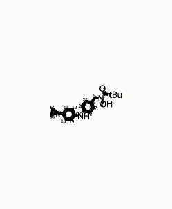 CC(C)(C)C(=O)N(O)Cc1ccc(Nc2ccc(C3CC3)cc2)cc1